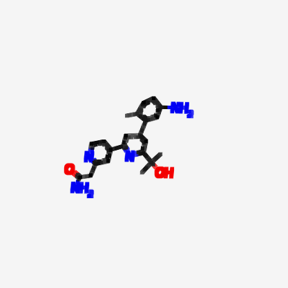 Cc1ccc(N)cc1-c1cc(-c2ccnc(CC(N)=O)c2)nc(C(C)(C)O)c1